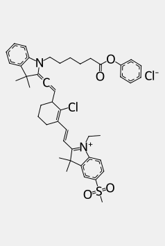 CC[N+]1=C(/C=C/C2=C(Cl)C(C=C=C3N(CCCCCC(=O)Oc4ccccc4)c4ccccc4C3(C)C)CCC2)C(C)(C)c2cc(S(C)(=O)=O)ccc21.[Cl-]